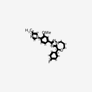 COc1cc(-c2nc3n(n2)CCCOC3c2ccc(F)cc2)ccc1-n1cnc(C)c1